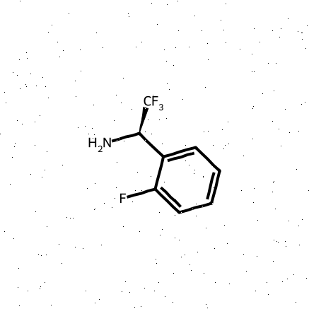 N[C@H](c1ccccc1F)C(F)(F)F